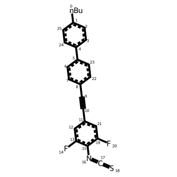 CCCCc1ccc(-c2ccc(C#Cc3cc(F)c(N=C=S)c(F)c3)cc2)cc1